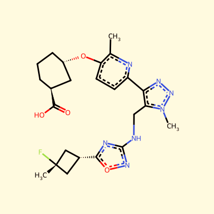 Cc1nc(-c2nnn(C)c2CNc2noc([C@H]3C[C@@](C)(F)C3)n2)ccc1O[C@H]1CCC[C@H](C(=O)O)C1